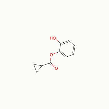 O=C(Oc1ccccc1O)C1CC1